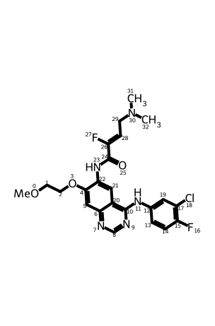 COCCOc1cc2ncnc(Nc3ccc(F)c(Cl)c3)c2cc1NC(=O)/C(F)=C/CN(C)C